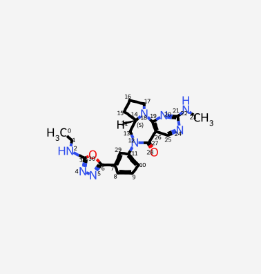 CCNc1nnc(-c2cccc(N3C[C@@H]4CCCN4c4nc(NC)ncc4C3=O)c2)o1